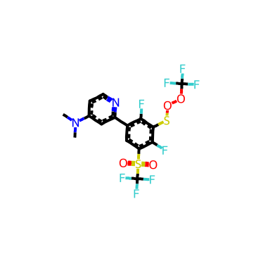 CN(C)c1ccnc(-c2cc(S(=O)(=O)C(F)(F)F)c(F)c(SOOC(F)(F)F)c2F)c1